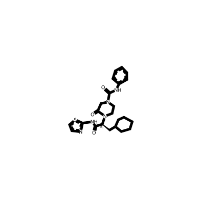 O=C(Nc1nccs1)[C@H](CC1CCCCC1)N1CCN(C(=O)Nc2ccccc2)CC1=O